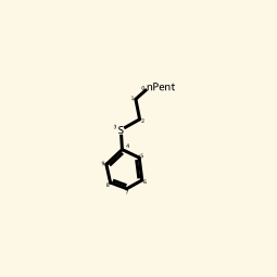 CCCCCCCSc1[c]cccc1